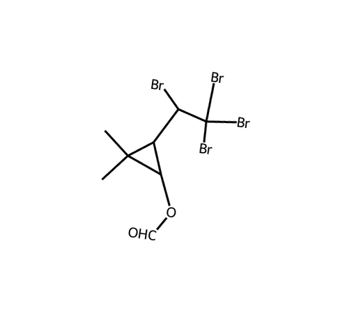 CC1(C)C(OC=O)C1C(Br)C(Br)(Br)Br